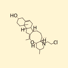 C/C1=C2\C[C@H]3C(CC=C4C[C@@H](O)CCC43C)[C@@H]2CC[C@H](C)[C@H]2[C@@H](CC(C)CN2CCCl)O1